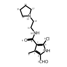 Cc1c(C=O)[nH]c(Cl)c1C(=O)NCCN1CCCC1